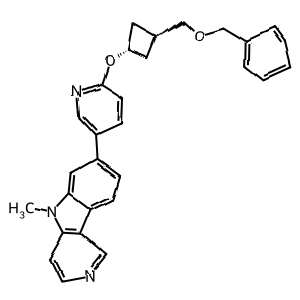 Cn1c2ccncc2c2ccc(-c3ccc(O[C@H]4C[C@H](COCc5ccccc5)C4)nc3)cc21